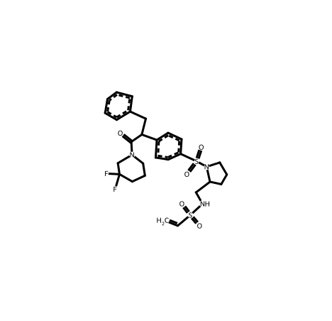 C=CS(=O)(=O)NCC1CCCN1S(=O)(=O)c1ccc(C(Cc2ccccc2)C(=O)N2CCCC(F)(F)C2)cc1